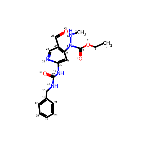 CCOC(=O)N(NC)c1cc(NC(=O)NCc2ccccc2)ncc1C=O